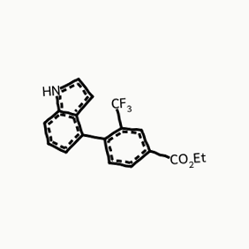 CCOC(=O)c1ccc(-c2cccc3[nH]ccc23)c(C(F)(F)F)c1